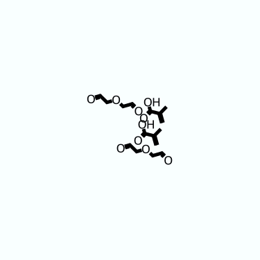 C=C(C)C(=O)O.C=C(C)C(=O)O.O=CCOCC=O.O=CCOCC=O